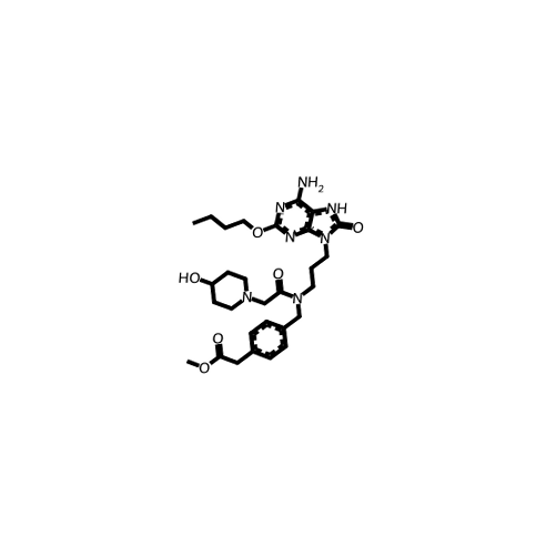 CCCCOc1nc(N)c2[nH]c(=O)n(CCCN(Cc3ccc(CC(=O)OC)cc3)C(=O)CN3CCC(O)CC3)c2n1